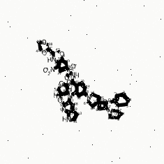 CC(C)c1ccccc1[C@@H]1CCCN1C1CC2(CCN(c3ccc(C(=O)NS(=O)(=O)c4cc5c(c([N+](=O)[O-])c4)N[C@H]([C@H]4COCCO4)CO5)c(N4c5cc6cc[nH]c6nc5O[C@@H]5COC[C@H]54)c3)CC2)C1